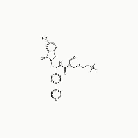 C[Si](C)(C)CCOCN(C=O)C(=O)N[C@@H](CN1Cc2ccc(O)cc2C1=O)c1ccc(-c2ccncc2)cc1